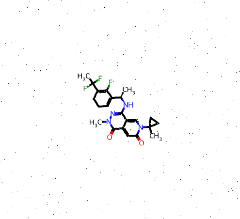 C[C@@H](Nc1nn(C)c(=O)c2cc(=O)n(C3(C)CC3)cc12)C1=CCCC(C(C)(F)F)=C1F